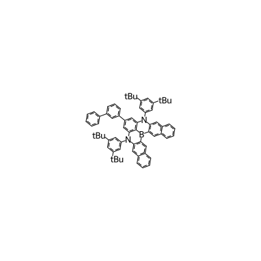 CC(C)(C)c1cc(N2c3cc4ccccc4cc3B3c4cc5ccccc5cc4N(c4cc(C(C)(C)C)cc(C(C)(C)C)c4)c4cc(-c5cccc(-c6ccccc6)c5)cc2c43)cc(C(C)(C)C)c1